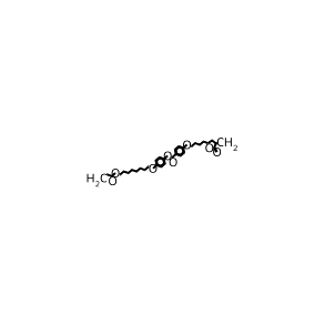 C=CC(=O)OCCCCCCCCOc1ccc(OC(=O)c2ccc(OCCCCC3CC(=C)C(=O)O3)cc2)cc1